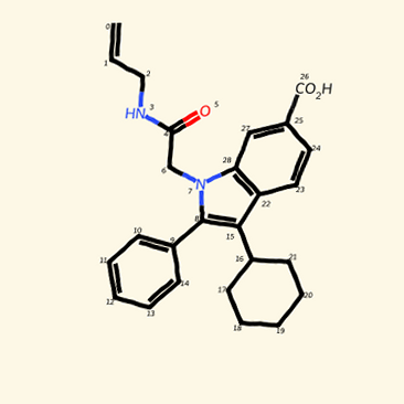 C=CCNC(=O)Cn1c(-c2ccccc2)c(C2CCCCC2)c2ccc(C(=O)O)cc21